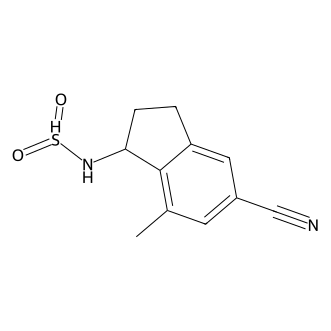 Cc1cc(C#N)cc2c1C(N[SH](=O)=O)CC2